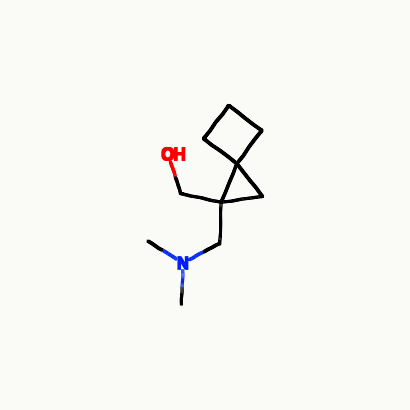 CN(C)CC1(CO)CC12CCC2